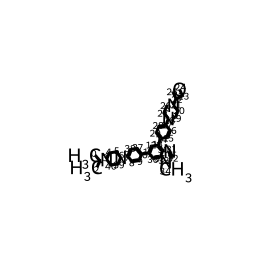 CC(C)N1CCN(c2ccc(-c3cc(-c4ccc(N5CCN(C6COC6)CC5)cc4)c4ncn(C)c4c3)cc2)CC1